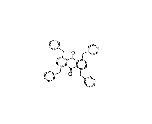 O=C1c2c(Cc3ccccc3)ccc(Cc3ccccc3)c2C(=O)c2c(Cc3ccccc3)ccc(Cc3ccccc3)c21